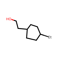 CCC1CCC(CCO)CC1